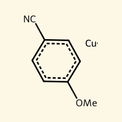 COc1ccc(C#N)cc1.[Cu]